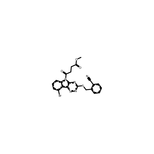 COC(=O)CCC(=O)n1c2cccc(Br)c2c2nnc(SCc3ccccc3C#N)nc21